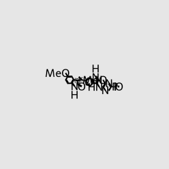 COc1ccc2c(c1)[C@]1(C[C@H]1c1ccc3c(Nc4ncc(P(C)(C)=O)nc4OC)n[nH]c3c1)C(=O)N2